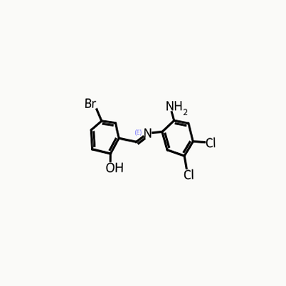 Nc1cc(Cl)c(Cl)cc1/N=C/c1cc(Br)ccc1O